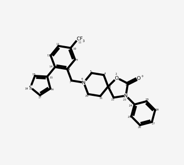 O=C1OC2(CCN(Cc3cc(C(F)(F)F)ccc3-c3ccsc3)CC2)CN1c1ccccc1